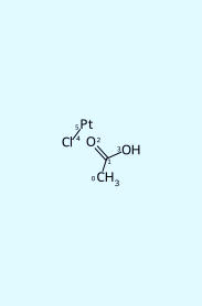 CC(=O)O.[Cl][Pt]